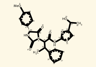 COc1ccc([C@H]2NC(=O)N(C(C(=O)Nc3nc(C(C)O)cs3)C(C)c3ccccc3)C2=O)cc1